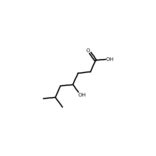 CC(C)CC(O)CCC(=O)O